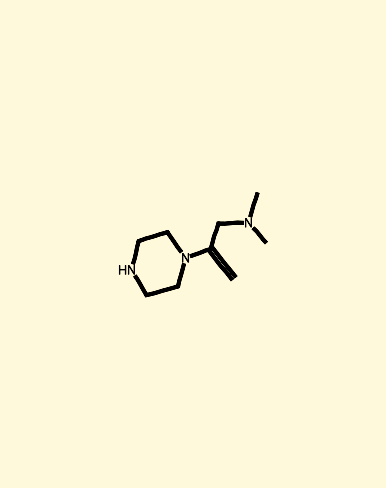 C=C(CN(C)C)N1CCNCC1